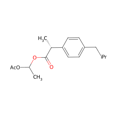 CC(=O)OC(C)OC(=O)[C@H](C)c1ccc(CC(C)C)cc1